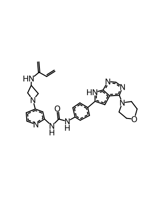 C=CC(=C)NC1CN(c2ccnc(NC(=O)Nc3ccc(-c4cc5c(N6CCOCC6)ncnc5[nH]4)cc3)c2)C1